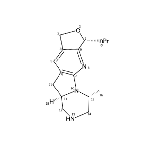 CCC[C@H]1OCc2cc3c(nc21)N1[C@@H](CNC[C@H]1C)C3